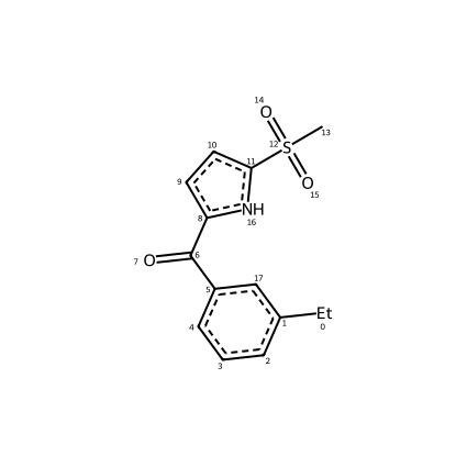 CCc1cccc(C(=O)c2ccc(S(C)(=O)=O)[nH]2)c1